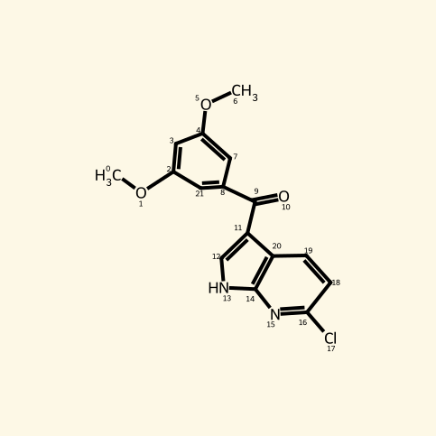 COc1cc(OC)cc(C(=O)c2c[nH]c3nc(Cl)ccc23)c1